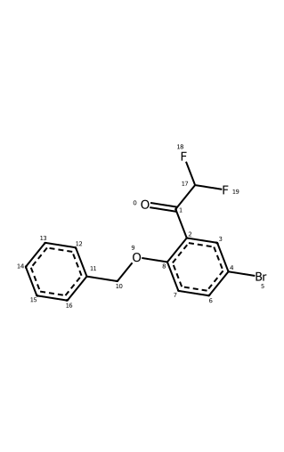 O=C(c1cc(Br)ccc1OCc1ccccc1)C(F)F